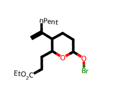 C=C(CCCCC)C1CCC(OBr)OC1CCC(=O)OCC